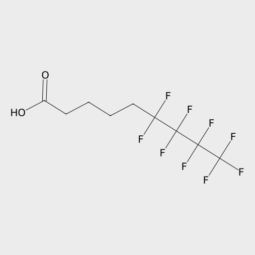 O=C(O)CCCCC(F)(F)C(F)(F)C(F)(F)C(F)(F)F